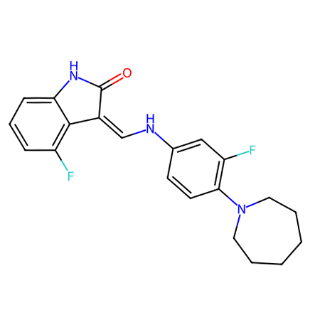 O=C1Nc2cccc(F)c2C1=CNc1ccc(N2CCCCCC2)c(F)c1